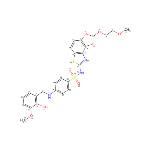 COCCOC1Oc2ccc3sc(NS(=O)(=O)c4ccc(NCc5cccc(OC)c5O)cc4)nc3c2O1